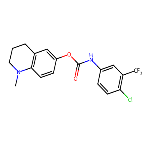 CN1CCCc2cc(OC(=O)Nc3ccc(Cl)c(C(F)(F)F)c3)ccc21